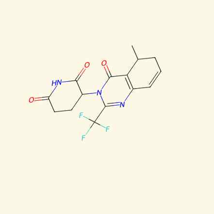 CC1CC=Cc2nc(C(F)(F)F)n(C3CCC(=O)NC3=O)c(=O)c21